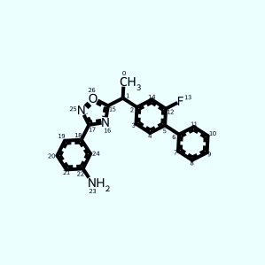 CC(c1ccc(-c2ccccc2)c(F)c1)c1nc(-c2cccc(N)c2)no1